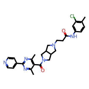 Cc1ccc(NC(=O)CCN2CC3CN(C(=O)c4c(C)nc(-c5ccncc5)nc4C)CC3C2)cc1Cl